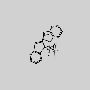 CCC1=Cc2ccccc2[CH]1[Zr]([Cl])([Cl])([CH]1C=Cc2ccccc21)[SiH](C)C